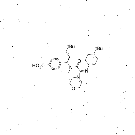 CN(C(=O)/C(=N\C1CCC(C(C)(C)C)CC1)N1CCOCC1)[C@H](CCC(C)(C)C)c1ccc(C(=O)O)cc1